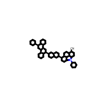 N#Cc1ccc2c3c1ccc1c(-c4ccc5cc(-c6cc7c8ccccc8c(-c8ccccc8)cc7c7ccccc67)ccc5c4)ccc(c13)n2-c1ccccc1